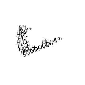 O.O.O.O.O.O.O.[Al+3].[Mg+2].[OH-].[OH-].[OH-].[OH-].[OH-].[SiH4]